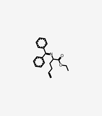 C=CCCC(N=C(c1ccccc1)c1ccccc1)C(=O)OCC